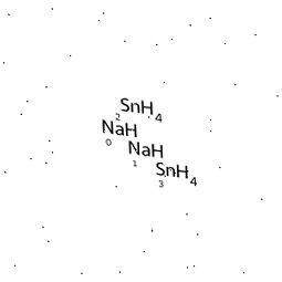 [NaH].[NaH].[SnH4].[SnH4]